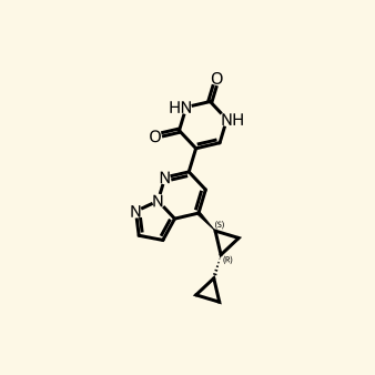 O=c1[nH]cc(-c2cc([C@H]3C[C@@H]3C3CC3)c3ccnn3n2)c(=O)[nH]1